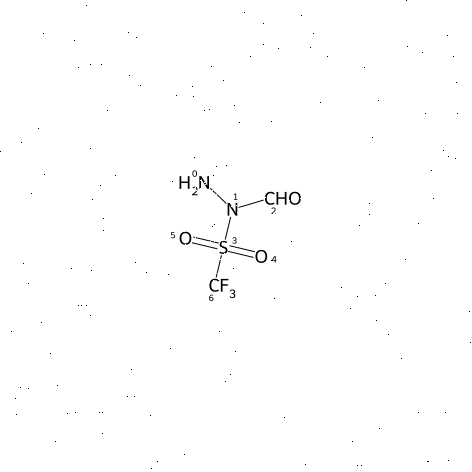 NN(C=O)S(=O)(=O)C(F)(F)F